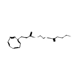 CC(C)CCCC(=O)NCCNC(=O)CCC1=C/C=C\C=C/C=C\1